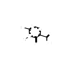 Nn1c(S)nnc(C(=O)O)c1=O